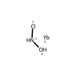 ONCl.[Yb]